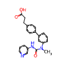 CN(C(=O)Nc1cccnc1)c1cccc(-c2ccc(CCC(=O)O)cc2)c1